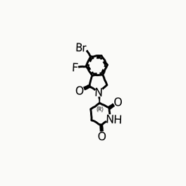 O=C1CC[C@@H](N2Cc3ccc(Br)c(F)c3C2=O)C(=O)N1